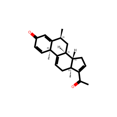 CC(=O)C1=CC[C@H]2[C@@H]3C[C@H](C)C4=CC(=O)C=C[C@]4(C)C3=CC[C@]12C